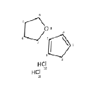 C1=CCC=C1.C1CCOC1.Cl.Cl